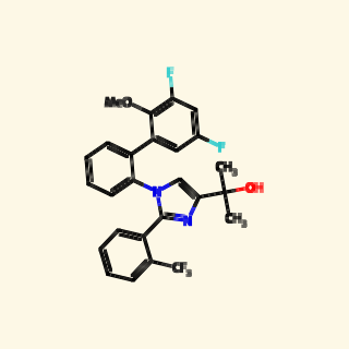 COc1c(F)cc(F)cc1-c1ccccc1-n1cc(C(C)(C)O)nc1-c1ccccc1C(F)(F)F